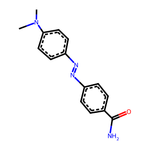 CN(C)c1ccc(N=Nc2ccc(C(N)=O)cc2)cc1